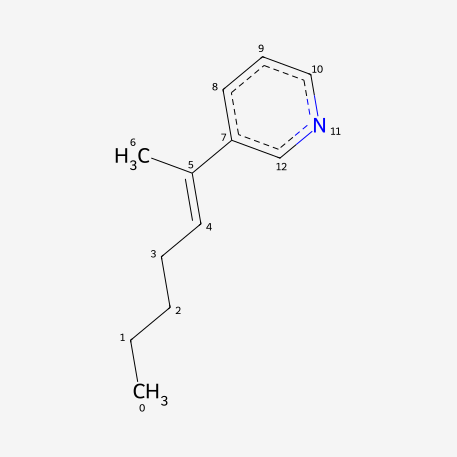 CCCCC=C(C)c1cccnc1